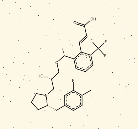 Cc1ccc(C[C@@H]2CCCN2C[C@H](O)CO[C@H](C)c2cccc(C(F)(F)F)c2/C=C/C(=O)O)cc1F